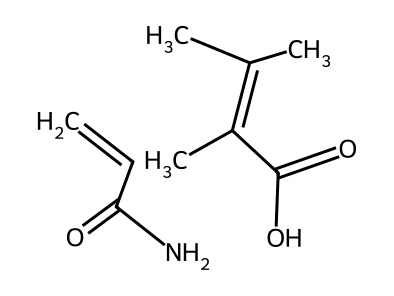 C=CC(N)=O.CC(C)=C(C)C(=O)O